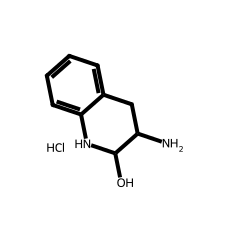 Cl.NC1Cc2ccccc2NC1O